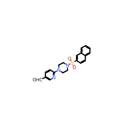 O=Cc1ccc(N2CCN(S(=O)(=O)c3ccc4ccccc4c3)CC2)nc1